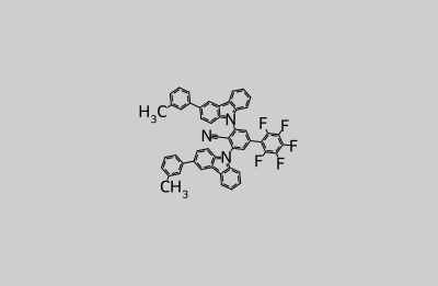 Cc1cccc(-c2ccc3c(c2)c2ccccc2n3-c2cc(-c3c(F)c(F)c(F)c(F)c3F)cc(-n3c4ccccc4c4cc(-c5cccc(C)c5)ccc43)c2C#N)c1